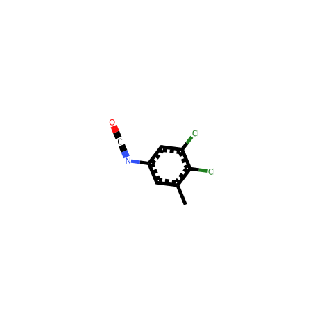 Cc1cc(N=C=O)cc(Cl)c1Cl